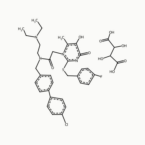 CCN(CC)CCN(Cc1ccc(-c2ccc(Cl)cc2)cc1)C(=O)Cn1c(SCc2ccc(F)cc2)nc(=O)c(O)c1C.O=C(O)C(O)C(O)C(=O)O